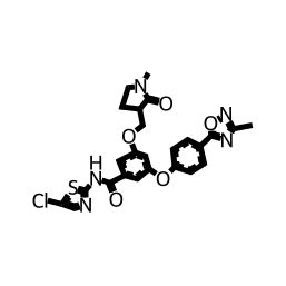 Cc1noc(-c2ccc(Oc3cc(OCC4CCN(C)C4=O)cc(C(=O)Nc4ncc(Cl)s4)c3)cc2)n1